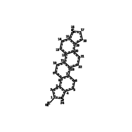 Fc1cc2c(ccc3c2ccc2c4ccc5sccc5c4ccc32)s1